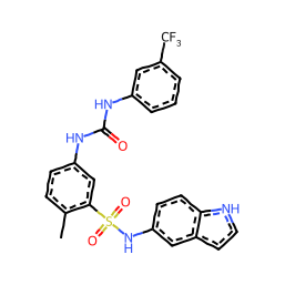 Cc1ccc(NC(=O)Nc2cccc(C(F)(F)F)c2)cc1S(=O)(=O)Nc1ccc2[nH]ccc2c1